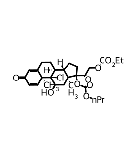 CCCOC(=O)O[C@]1(C(=O)COC(=O)OCC)CC[C@H]2[C@@H]3CCC4=CC(=O)C=C[C@]4(C)[C@@]3(Cl)C(O)C[C@@]21C